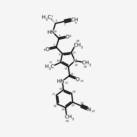 C#C[C@@H](C)NC(=O)C(=O)c1c(C)c(C(=O)Nc2ccc(C)c(C#N)c2)n(C)c1C